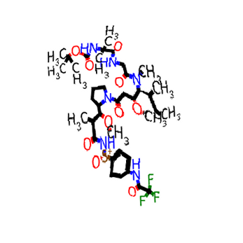 CCC(C)[C@@H](C(CC(=O)N1CCCC1C(OC)C(C)C(=O)N[S+]([O-])c1ccc(NC(=O)C(F)(F)F)cc1)OC)N(C)C(=O)CNC(=O)C(C)(C)NC(=O)OC(C)(C)C